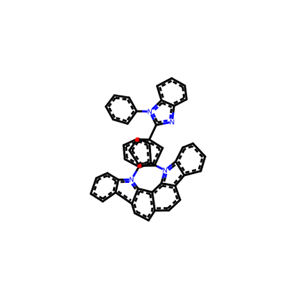 c1ccc(-n2c(-c3ccc(-n4c5ccccc5c5ccc6ccc7c8ccccc8n(-c8ccccc8)c7c6c54)cc3)nc3ccccc32)cc1